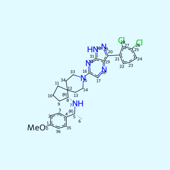 COc1ccc([C@@H](C)N[C@@H]2CCCC23CCN(c2cnc4c(-c5cccc(Cl)c5Cl)n[nH]c4n2)CC3)cc1